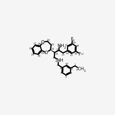 CCc1cccc(CNCC(C(N)Cc2cc(F)cc(F)c2)[C@@H]2CCOc3ccccc3O2)c1